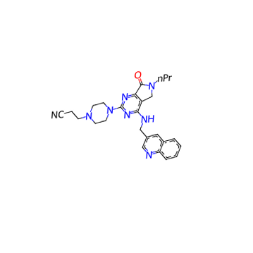 CCCN1Cc2c(NCc3cnc4ccccc4c3)nc(N3CCN(CCC#N)CC3)nc2C1=O